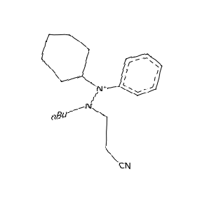 CCCCN(CCC#N)[N+](c1ccccc1)C1CCCCC1